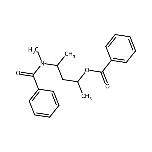 CC(CC(C)N(C)C(=O)c1ccccc1)OC(=O)c1ccccc1